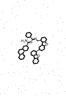 N/C(=N\C(=N/Cc1cccc2oc3ccc(-c4cccc5c4oc4ccccc45)cc3c12)c1ccccc1)c1ccc2c(ccc3ccccc32)c1